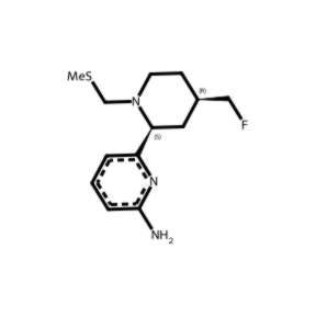 CSCN1CC[C@@H](CF)C[C@H]1c1cccc(N)n1